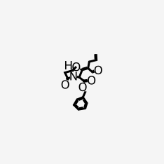 C=CC/C(C=O)=C1\O[C@@H]2CC(=O)N2C1C(=O)OCc1ccccc1